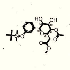 COC(=O)C[C@H]1O[C@H](c2cccc(O[Si](C)(C)C(C)(C)C)c2)[C@@H](O)[C@@H](O)[C@H]1OC(C)=O